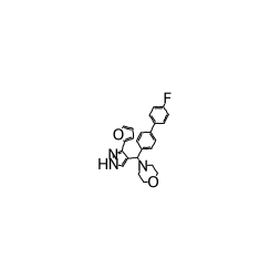 Fc1ccc(-c2ccc(C(c3c[nH]nc3-c3ccco3)N3CCOCC3)cc2)cc1